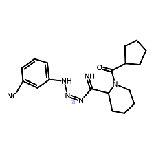 N#Cc1cccc(N/N=N\C(=N)C2CCCCN2C(=O)C2CCCC2)c1